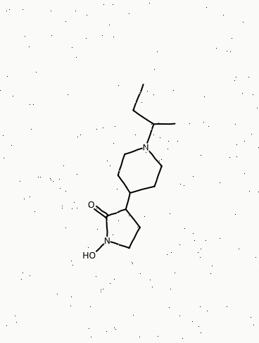 CCC(C)N1CCC(C2CCN(O)C2=O)CC1